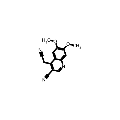 COc1cc2ncc(C#N)c(CC#N)c2cc1OC